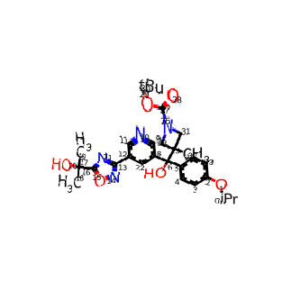 CC(C)Oc1ccc(C(O)(c2cncc(-c3noc(C(C)(C)O)n3)c2)C2(C)CN(C(=O)OC(C)(C)C)C2)cc1